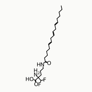 CCCCCC=CCC=CCC=CCCCCC(=O)NCCCC(N)(C(=O)O)C(F)F